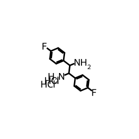 Cl.Cl.NC(c1ccc(F)cc1)C(N)c1ccc(F)cc1